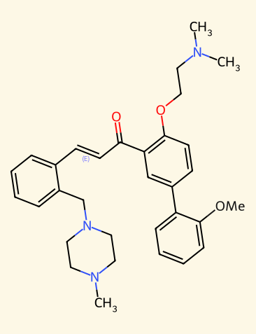 COc1ccccc1-c1ccc(OCCN(C)C)c(C(=O)/C=C/c2ccccc2CN2CCN(C)CC2)c1